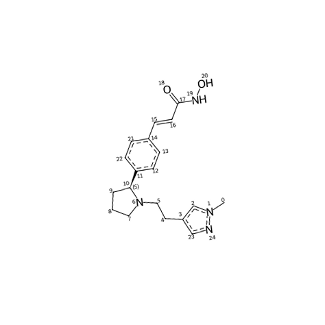 Cn1cc(CCN2CCC[C@H]2c2ccc(C=CC(=O)NO)cc2)cn1